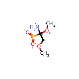 COCC(N)(OC)P(=O)=O